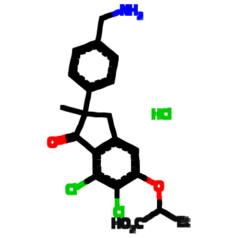 CCC(Oc1cc2c(c(Cl)c1Cl)C(=O)C(C)(c1ccc(CN)cc1)C2)C(=O)O.Cl